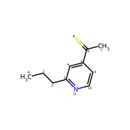 CCCc1cc(C(C)=S)ccn1